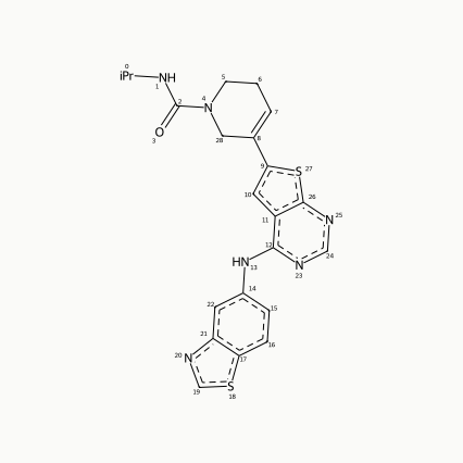 CC(C)NC(=O)N1CCC=C(c2cc3c(Nc4ccc5scnc5c4)ncnc3s2)C1